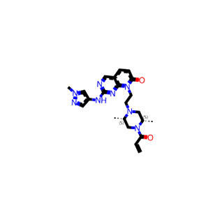 C=CC(=O)N1C[C@H](C)N(CCn2c(=O)ccc3cnc(Nc4cnn(C)c4)nc32)C[C@@H]1C